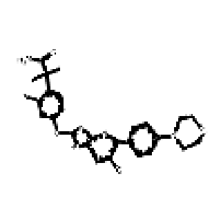 CC(C)(C(N)=O)c1ccc(Oc2nc3nc(-c4ccc(N5CCOCC5)cc4)c(Cl)cc3[nH]2)cc1F